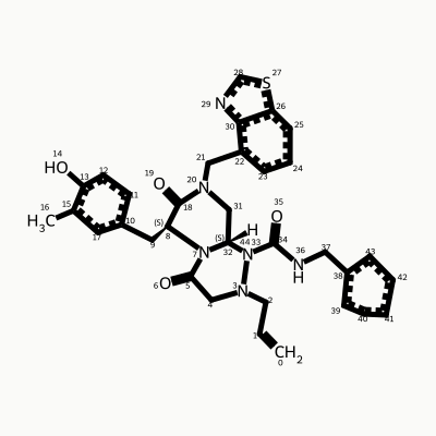 C=CCN1CC(=O)N2[C@@H](Cc3ccc(O)c(C)c3)C(=O)N(Cc3cccc4scnc34)C[C@@H]2N1C(=O)NCc1ccccc1